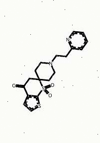 O=C1CC2(CCN(CCc3ccccn3)CC2)S(=O)(=O)c2sccc21